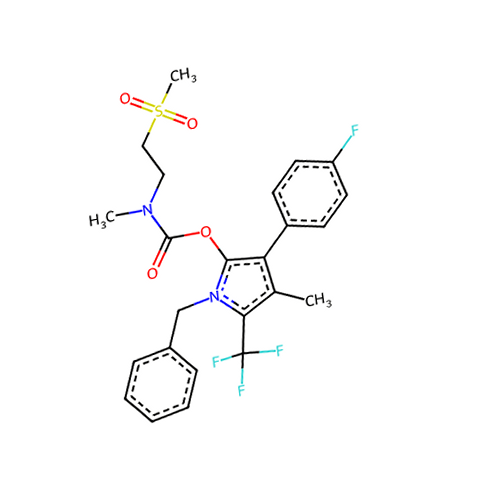 Cc1c(-c2ccc(F)cc2)c(OC(=O)N(C)CCS(C)(=O)=O)n(Cc2ccccc2)c1C(F)(F)F